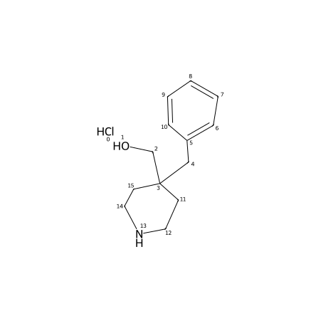 Cl.OCC1(Cc2ccccc2)CCNCC1